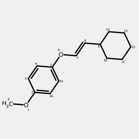 COc1ccc(OC=CC2CCCCC2)cc1